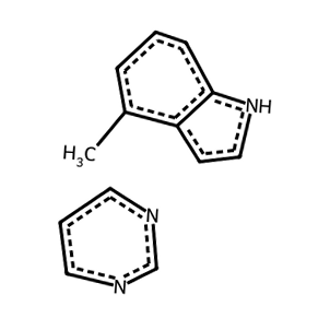 Cc1cccc2[nH]ccc12.c1cncnc1